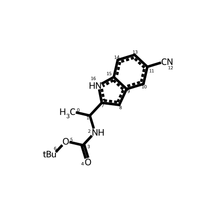 CC(NC(=O)OC(C)(C)C)c1cc2cc(C#N)ccc2[nH]1